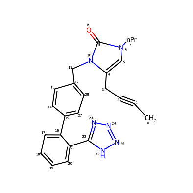 CC#CCc1cn(CCC)c(=O)n1Cc1ccc(-c2ccccc2-c2nnn[nH]2)cc1